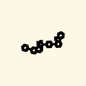 c1ccc(-c2ccc3ccn4c(-c5ccc(-c6cccc7c6sc6ccccc67)cc5)nnc4c3c2)cc1